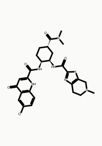 CN1CCc2nc(C(=O)N[C@@H]3C[C@@H](C(=O)N(C)C)CC[C@@H]3NC(=O)c3cc(=O)c4cc(Cl)ccc4[nH]3)sc2C1